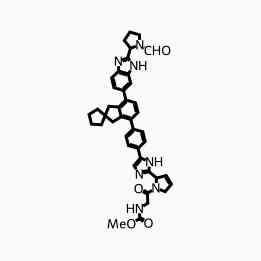 COC(=O)NCC(=O)N1CC=CC1c1ncc(-c2ccc(-c3ccc(-c4ccc5nc(C6CCCN6C=O)[nH]c5c4)c4c3CC3(CCCC3)C4)cc2)[nH]1